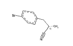 C[C@H](C#N)Cc1ccc(Br)cc1